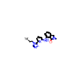 CN1Cc2cccc(Nc3cccc(-c4nncn4CCC#N)n3)c2C1=O